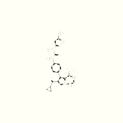 CC(C)(C)c1cc(NC(=O)Nc2ccc(-c3c(C(=O)C4CC4)cn4ncnc(N)c34)cc2)on1